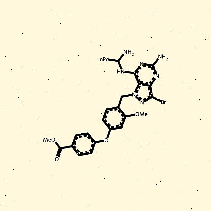 CCCC(N)Nc1nc(N)nc2c(Br)nn(Cc3ccc(Oc4ccc(C(=O)OC)cc4)cc3OC)c12